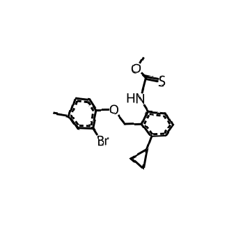 COC(=S)Nc1cccc(C2CC2)c1COc1ccc(C)cc1Br